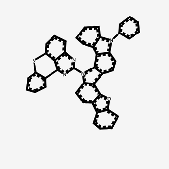 c1ccc(-n2c3ccccc3c3c2ccc2c4c5oc6ccccc6c5ccc4n(-c4nc5c6c(cccc6n4)Sc4ccccc4-5)c23)cc1